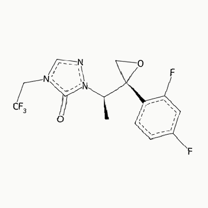 C[C@@H](n1ncn(CC(F)(F)F)c1=O)[C@]1(c2ccc(F)cc2F)CO1